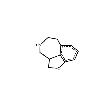 c1cc2c3c(c1)OCC3CNCC2